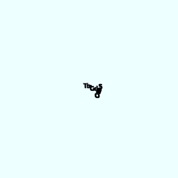 O=S.[Gd].[Tb]